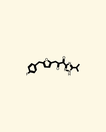 CC(C)c1nc(C(=O)C(=O)Cc2ccc(Cc3ccc(F)cc3)o2)n[nH]1